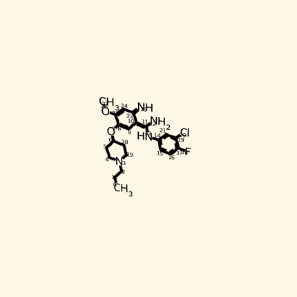 CCCN1CCC(OC2=C/C(=C(/N)Nc3ccc(F)c(Cl)c3)C(=N)C=C2OC)CC1